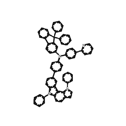 c1ccc(-n2ccc3ccc4c(c5cc(-c6ccc(N(c7ccc(-c8ccccn8)cc7)c7ccc8c(c7)C(c7ccccc7)(c7ccccc7)c7ccccc7-8)cc6)ccc5n4-c4ccccc4)c32)cc1